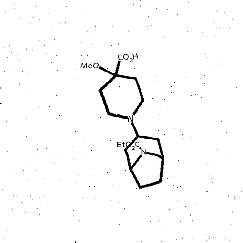 CCOC(=O)N1C2CCC1CC(N1CCC(OC)(C(=O)O)CC1)C2